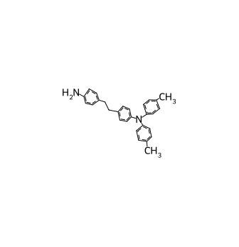 Cc1ccc(N(c2ccc(C)cc2)c2ccc(CCc3ccc(N)cc3)cc2)cc1